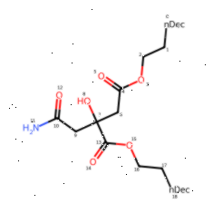 CCCCCCCCCCCCOC(=O)CC(O)(CC(N)=O)C(=O)OCCCCCCCCCCCC